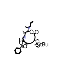 C=C/C=C(\C)[C@H]1OC(=O)CC(O[Si](C)(C)C(C)(C)C)CC[C@@]2(C)O[C@@H](c3ccccc3)O[C@H]2/C=C/[C@@H]1C